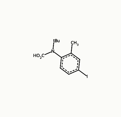 Cc1cc(I)ccc1N(C(=O)O)C(C)(C)C